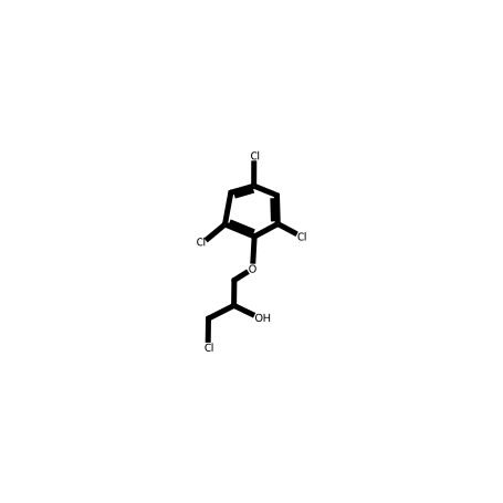 OC(CCl)COc1c(Cl)cc(Cl)cc1Cl